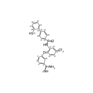 N=C(N)c1cccc(Oc2ccc(C(F)(F)F)cc2NC(=O)c2ccc(-c3ccccc3S)cc2)c1